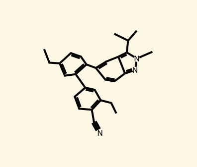 CCc1ccc(-c2ccc3nn(C)c(C(C)C)c3c2)c(-c2ccc(C#N)c(CC)c2)c1